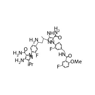 COc1ccc(F)cc1C(=O)NCc1ccc(-n2nc(C(C)CC(N)c3ccc(-n4nc(C(C)C)c(N)c4C(N)=O)c(F)c3)c(N)c2C(N)=O)c(F)c1